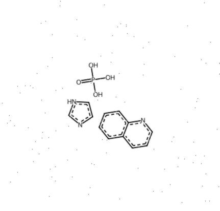 O=P(O)(O)O.c1c[nH]cn1.c1ccc2ncccc2c1